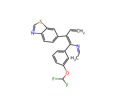 C=C/C(=C(\N=C/C)c1cccc(OC(F)F)c1)c1ccc2ncsc2c1